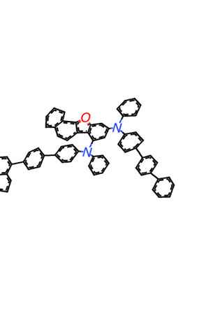 c1ccc(-c2ccc(-c3ccc(N(c4ccccc4)c4cc(N(c5ccccc5)c5ccc(-c6ccc(-c7cccc8ccccc78)cc6)cc5)c5c(c4)oc4c6ccccc6ccc45)cc3)cc2)cc1